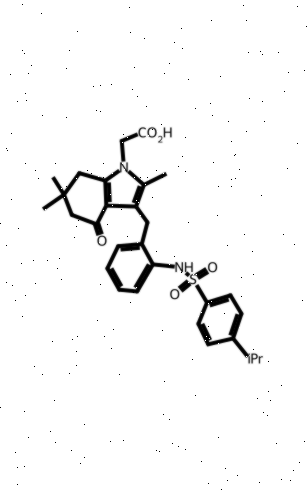 Cc1c(Cc2ccccc2NS(=O)(=O)c2ccc(C(C)C)cc2)c2c(n1CC(=O)O)CC(C)(C)CC2=O